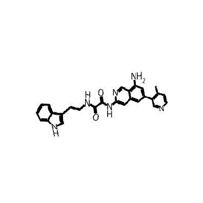 Cc1ccncc1-c1cc(N)c2cnc(NC(=O)C(=O)NCCc3c[nH]c4ccccc34)cc2c1